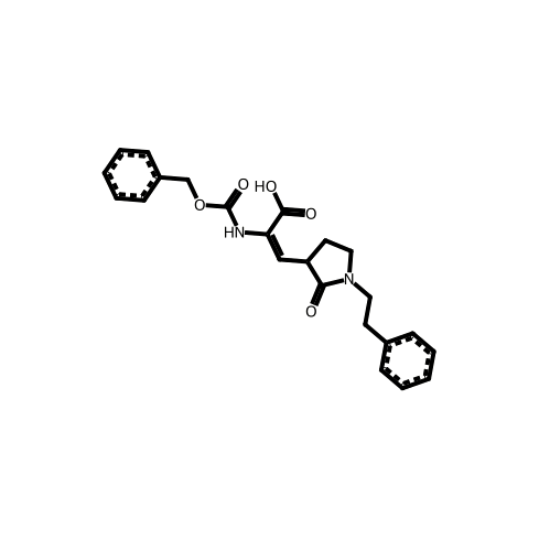 O=C(N/C(=C/C1CCN(CCc2ccccc2)C1=O)C(=O)O)OCc1ccccc1